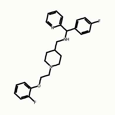 Fc1ccc(C(NCC2CCN(CCOc3ccccc3F)CC2)c2ccccn2)cc1